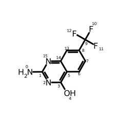 Nc1nc(O)c2ccc(C(F)(F)F)cc2n1